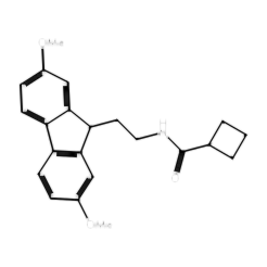 COc1ccc2c(c1)C(CCNC(=O)C1CCC1)c1cc(OC)ccc1-2